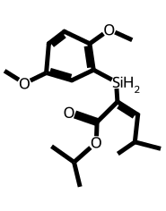 COc1ccc(OC)c([SiH2]C(=CC(C)C)C(=O)OC(C)C)c1